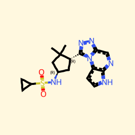 CC1(C)C[C@H](NS(=O)(=O)C2CC2)C[C@H]1c1nnc2cnc3[nH]ccc3n12